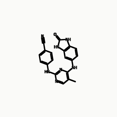 Cc1cnc(Nc2ccc(C#N)cc2)nc1Nc1ccc2[nH]c(=O)[nH]c2c1